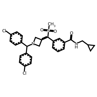 CS(=O)(=O)C(=C1CN(C(c2ccc(Cl)cc2)c2ccc(Cl)cc2)C1)c1cccc(C(=O)NCC2CC2)c1